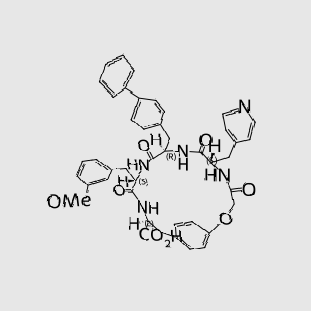 COc1cccc(C[C@@H]2NC(=O)[C@@H](Cc3ccc(-c4ccccc4)cc3)NC(=O)[C@H](Cc3ccncc3)NC(=O)COc3ccc(cc3)C[C@@H](C(=O)O)NC2=O)c1